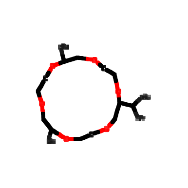 CCCCC1COCCOC(C(CCC)CCCC)COCCOC(C(C)CC)COCCO1